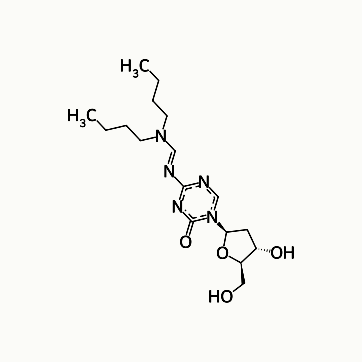 CCCCN(/C=N/c1ncn([C@H]2C[C@H](O)[C@@H](CO)O2)c(=O)n1)CCCC